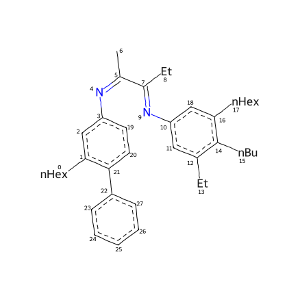 CCCCCCc1cc(N=C(C)C(CC)=Nc2cc(CC)c(CCCC)c(CCCCCC)c2)ccc1-c1ccccc1